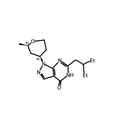 CCC(CC)Cc1nc2c(cnn2[C@@H]2CCO[C@H](C)C2)c(=O)[nH]1